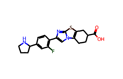 O=C(O)C1CCc2c(sc3nc(-c4ccc(C5CCCN5)cc4F)cn23)C1